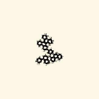 c1ccc(-c2ccc(N(c3cccc(-c4ccc5c(c4)c(-c4ccccc4)c(-c4ccccc4)c4ccccc45)c3)c3cccc4c3ccc3ccccc34)c3ccccc23)cc1